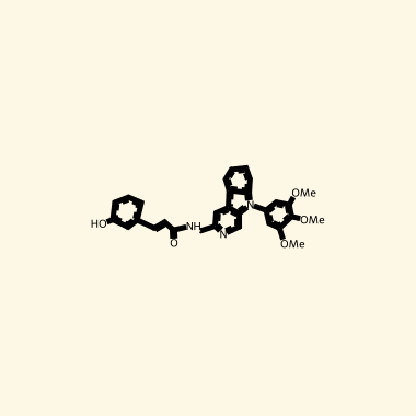 COc1cc(-n2c3ccccc3c3cc(CNC(=O)/C=C/c4cccc(O)c4)ncc32)cc(OC)c1OC